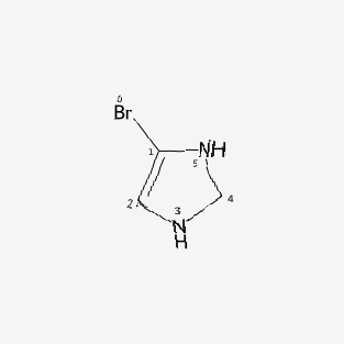 BrC1=[C]NCN1